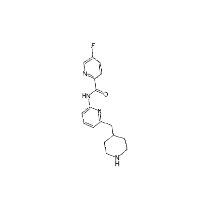 O=C(Nc1cccc(CC2CCNCC2)n1)c1ccc(F)cn1